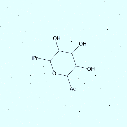 CC(=O)C1OC(C(C)C)C(O)C(O)C1O